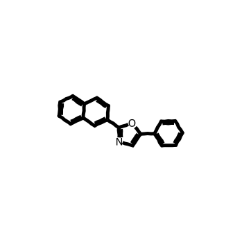 c1ccc(-c2cnc(-c3ccc4ccccc4c3)o2)cc1